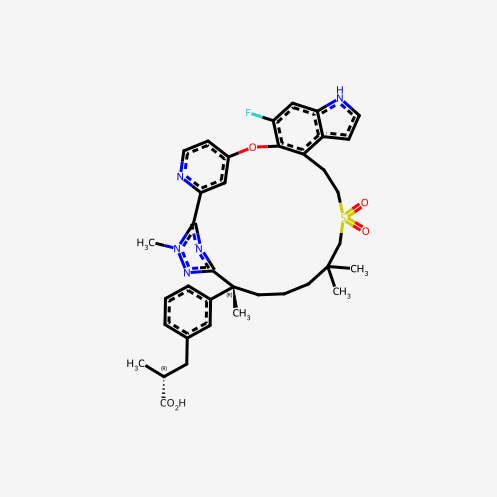 C[C@H](Cc1cccc([C@@]2(C)CCCC(C)(C)CS(=O)(=O)CCc3c(c(F)cc4[nH]ccc34)Oc3ccnc(c3)-c3nc2nn3C)c1)C(=O)O